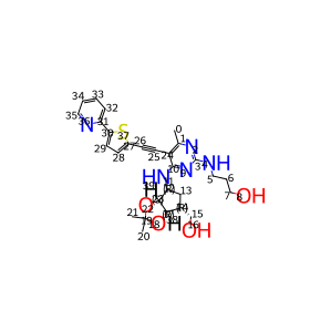 Cc1nc(NCCCO)nc(N[C@@H]2C[C@H](CO)[C@H]3OC(C)(C)O[C@H]32)c1C#Cc1ccc(-c2ccccn2)s1